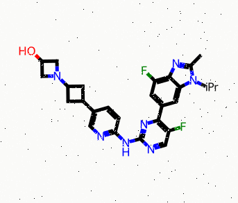 Cc1nc2c(F)cc(-c3nc(Nc4ccc(C5CC(N6CC(O)C6)C5)cn4)ncc3F)cc2n1C(C)C